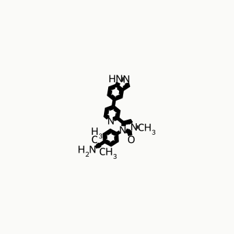 Cn1cc(-c2cc(-c3ccc4[nH]ncc4c3)ccn2)n(-c2ccc(C(C)(C)N)cc2)c1=O